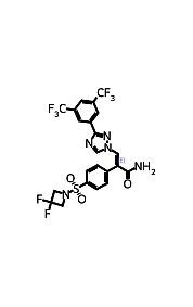 NC(=O)/C(=C/n1cnc(-c2cc(C(F)(F)F)cc(C(F)(F)F)c2)n1)c1ccc(S(=O)(=O)N2CC(F)(F)C2)cc1